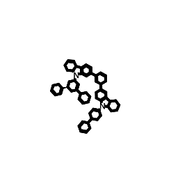 C1=CCCC([C@@H]2CC(C3C=CCCC3)=CC(N3c4cc(C5=CC(C6=CC7=C(CC6)N(C6=CCC(C8C=CC=CC8)CC6)C6CCCCC76)CC=C5)ccc4C4C=CCCC43)C2)=C1